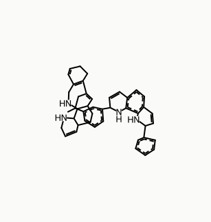 CC(C/C1=C\C2CCC3C=CCNC3C2NCC2=C1CCC=C2)c1cccc(C2C=Cc3ccc4c(c3N2)NC(c2ccccc2)C=C4)c1